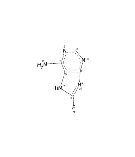 Nc1ncnc2c1NC(F)=[N+]2